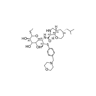 CSC1O[C@H]([C@H](NC(=O)[C@H]2NC[C@@H]3C[C@H](CC(C)C)CCO[C@H]32)[C@H](C)Sc2ccc(CN3CCOCC3)cc2)C(O)C(O)[C@H]1O